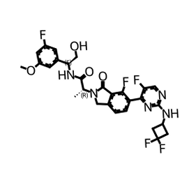 COc1cc(F)cc([C@@H](CO)NC(=O)[C@@H](C)N2Cc3ccc(-c4nc(NC5CC(F)(F)C5)ncc4F)c(F)c3C2=O)c1